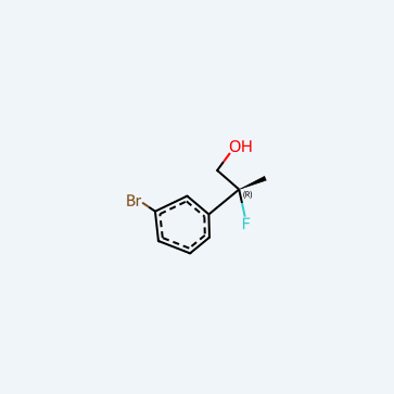 C[C@](F)(CO)c1cccc(Br)c1